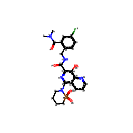 CN(C)C(=O)c1cc(F)ccc1CNC(=O)c1nc(N2CCCCS2(=O)=O)c2cccnc2c1O